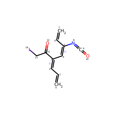 C=C/C=C(\C=C(/C=C)N=C=O)C(=O)CI